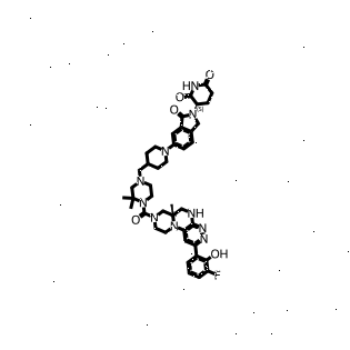 CC1(C)CN(CC2CCN(c3ccc4c(c3)C(=O)N([C@H]3CCC(=O)NC3=O)C4)CC2)CCN1C(=O)N1CCN2c3cc(-c4cccc(F)c4O)nnc3NC[C@@]2(C)C1